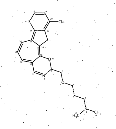 CN(C)CCCOCC1N=CC2=CC=CC3=C4SC=CC(Cl)=C4CC3=C2O1